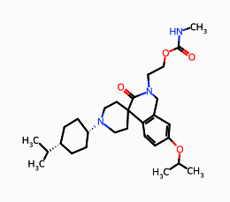 CNC(=O)OCCN1Cc2cc(OC(C)C)ccc2C2(CCN([C@H]3CC[C@@H](C(C)C)CC3)CC2)C1=O